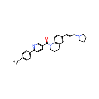 Cc1ccc(-c2ccc(C(=O)N3CCCc4cc(C=CCN5CCCC5)ccc43)cn2)cc1